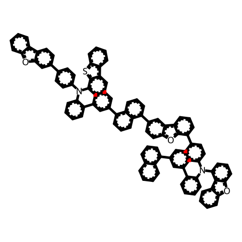 c1cc(-c2ccccc2N(c2ccc(-c3cccc4c3oc3ccc(-c5cccc6c(-c7cccc(-c8ccccc8N(c8ccc(-c9ccc%10c(c9)oc9ccccc9%10)cc8)c8cccc9c8sc8ccccc89)c7)cccc56)cc34)cc2)c2cccc3oc4ccccc4c23)cc(-c2cccc3ccccc23)c1